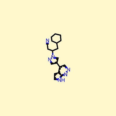 N#CCC(CC1CCCCC1)n1cc(-c2cnnc3[nH]ccc23)cn1